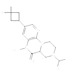 C=C1C2CN(C(C)C)CCN2c2ncc(C3CC(F)(F)C3)cc2N1C